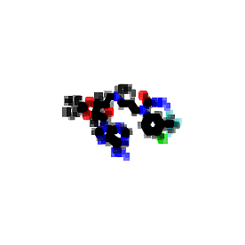 CN(CCCN(C(N)=O)c1ccc(Cl)c(C(F)(F)F)c1)C[C@H]1O[C@@H](n2cnc3c(N)ncnc32)[C@@H]2OC(C)(C)O[C@@H]21